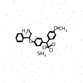 COc1ccc(C(c2ccc(OC(CN)c3ccccc3)cc2)C(Cl)(Cl)Cl)cc1.[SiH4]